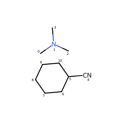 CN(C)C.N#CC1CCCCC1